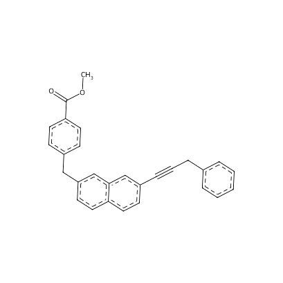 COC(=O)c1ccc(Cc2ccc3ccc(C#CCc4ccccc4)cc3c2)cc1